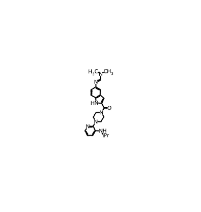 CC(C)Nc1cccnc1N1CCN(C(=O)c2cc3cc(N=CN(C)C)ccc3[nH]2)CC1